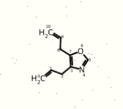 C=CCc1ncoc1CC=C